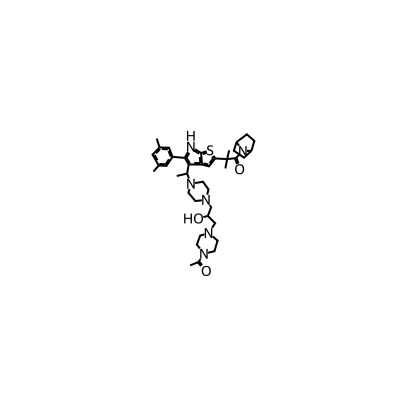 CC(=O)N1CCN(CC(O)CN2CCN(C(C)c3c(-c4cc(C)cc(C)c4)[nH]c4sc(C(C)(C)C(=O)N5C6CCC5CC6)cc34)CC2)CC1